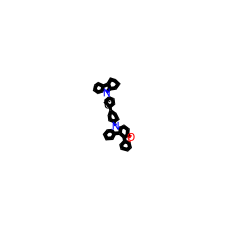 c1ccc2c(c1)oc1ccc3c(c4ccccc4n3-c3ccc(-c4ccc(-n5c6ccccc6c6ccccc65)cc4)cc3)c12